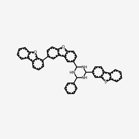 c1ccc(C2NC(c3ccc4c(c3)sc3ccccc34)NC(c3ccc4oc5ccc(-c6cccc7c6oc6ccccc67)cc5c4c3)N2)cc1